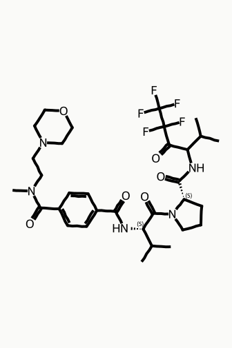 CC(C)C(NC(=O)[C@@H]1CCCN1C(=O)[C@@H](NC(=O)c1ccc(C(=O)N(C)CCN2CCOCC2)cc1)C(C)C)C(=O)C(F)(F)C(F)(F)F